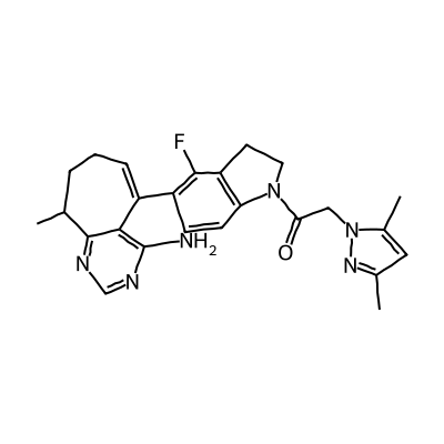 Cc1cc(C)n(CC(=O)N2CCc3c2ccc(C2=CCCC(C)c4ncnc(N)c42)c3F)n1